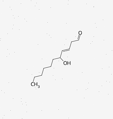 CCCCCCC(O)C=CCC=O